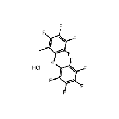 Cl.Fc1c(F)c(F)[c]([In][c]2c(F)c(F)c(F)c(F)c2F)c(F)c1F